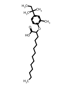 CCCCCCCCCCCCC(Oc1ccc(C(C)(C)CC)cc1C)C(=O)O